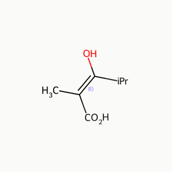 C/C(C(=O)O)=C(\O)C(C)C